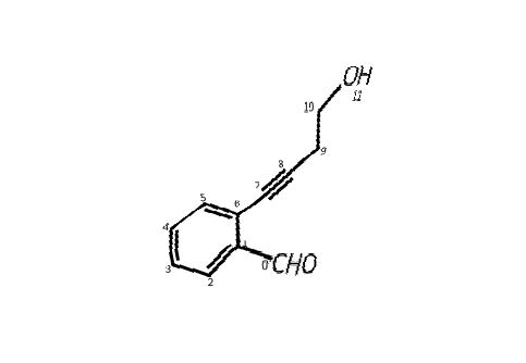 O=Cc1ccccc1C#CCCO